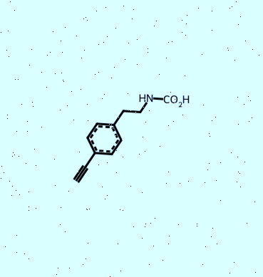 C#Cc1ccc(CCNC(=O)O)cc1